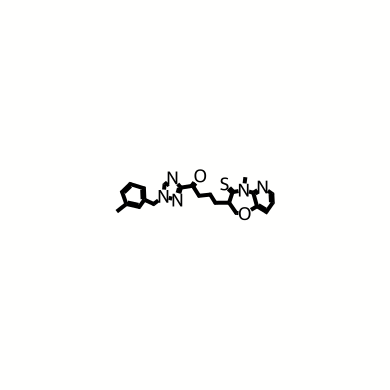 Cc1cccc(Cn2cnc(C(=O)CCCC3COc4cccnc4N(C)C3=S)n2)c1